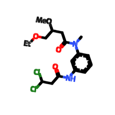 CCOCC(CC(=O)N(C)c1cccc(NC(=O)CC(Cl)Cl)c1)OC